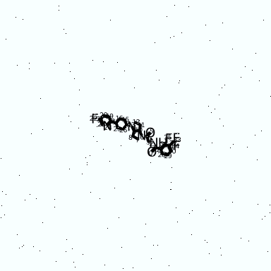 O=C(NCC(=O)N1CCC2C1CCN2C1CCC(c2ccc(F)cn2)CC1)c1cccc(C(F)(F)F)c1